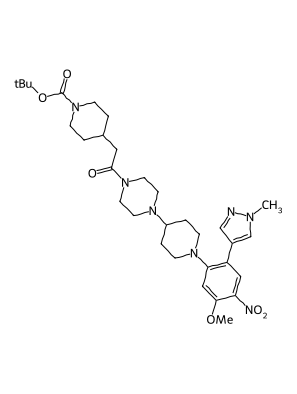 COc1cc(N2CCC(N3CCN(C(=O)CC4CCN(C(=O)OC(C)(C)C)CC4)CC3)CC2)c(-c2cnn(C)c2)cc1[N+](=O)[O-]